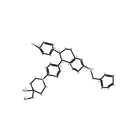 OC1(CBr)CCN(c2ccc(C3c4ccc(OCc5ccccc5)cc4CCC3c3ccc(F)cc3)cc2)CC1